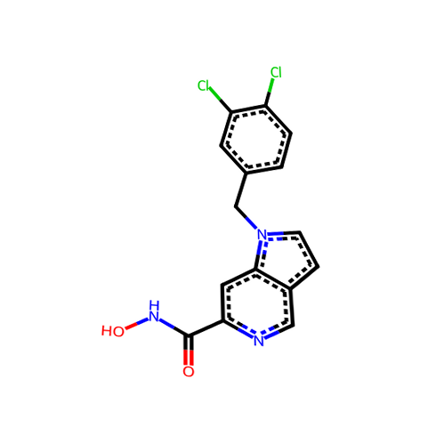 O=C(NO)c1cc2c(ccn2Cc2ccc(Cl)c(Cl)c2)cn1